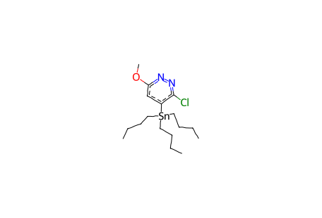 CCC[CH2][Sn]([CH2]CCC)([CH2]CCC)[c]1cc(OC)nnc1Cl